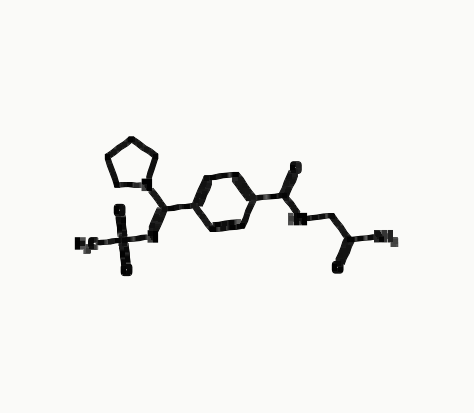 CS(=O)(=O)N=C(c1ccc(C(=O)NCC(N)=O)cc1)N1CCCC1